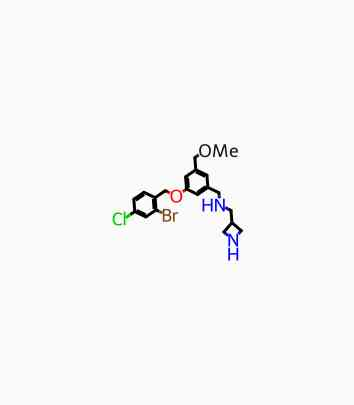 COCc1cc(CNCC2CNC2)cc(OCc2ccc(Cl)cc2Br)c1